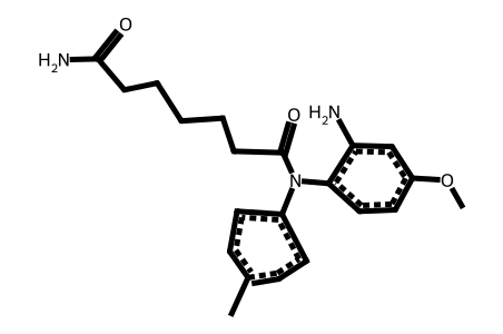 COc1ccc(N(C(=O)CCCCCC(N)=O)c2ccc(C)cc2)c(N)c1